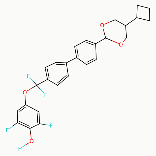 FOc1c(F)cc(OC(F)(F)c2ccc(-c3ccc(C4OCC(C5CCC5)CO4)cc3)cc2)cc1F